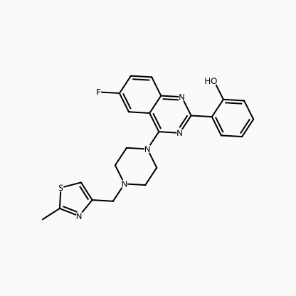 Cc1nc(CN2CCN(c3nc(-c4ccccc4O)nc4ccc(F)cc34)CC2)cs1